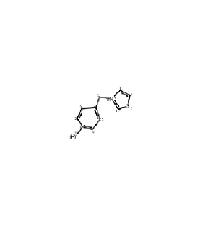 CC(C)c1ccc(C[n+]2ccsc2)cc1